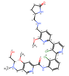 COc1cc(C(=O)Nc2cccc(-c3nccc(-c4ccc(CNC[C@H]5CCC(=O)N5)c(OC)n4)c3Cl)c2Cl)ncc1CN(C)CCO